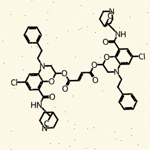 O=C(/C=C/C(=O)OC1CN(CCc2ccccc2)c2cc(Cl)cc(C(=O)NC3CN4CCC3CC4)c2O1)OC1CN(CCc2ccccc2)c2cc(Cl)cc(C(=O)NC3CN4CCC3CC4)c2O1